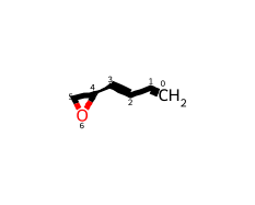 C=CC=C[C@@H]1CO1